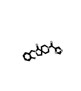 O=C(c1cnco1)N1CCC2(CC1)CCN(Cc1ccccc1F)C2=O